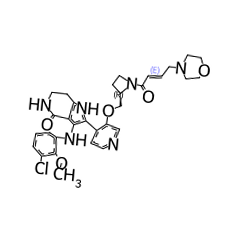 COc1c(Cl)cccc1Nc1c(-c2ccncc2OC[C@H]2CCN2C(=O)/C=C/CN2CCOCC2)[nH]c2c1C(=O)NCC2